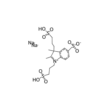 CC1=[N+](CCCS(=O)(=O)O)c2ccc(S(=O)(=O)[O-])cc2C1(C)CCCS(=O)(=O)O.[Na].[Na]